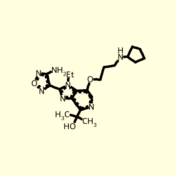 CCn1c(-c2nonc2N)nc2c(C(C)(C)O)ncc(OCCCNC3CCCC3)c21